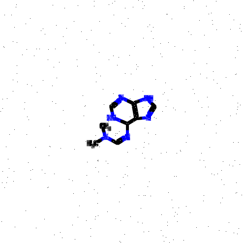 CN(C)/C=N\C1NC=Nc2[nH]cnc21